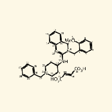 COc1ccccc1CN1Cc2ccccc2N=C1NC1CCN(Cc2ccccc2)CC1.O=C(O)C=CC(=O)O